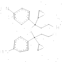 CCCC(OC(CCC)(c1ccc(N)cc1)C1CO1)(c1ccc(N)cc1)C1CO1